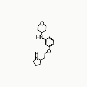 [c]1ccc(OCCC2CCCN2)cc1NC1CCOCC1